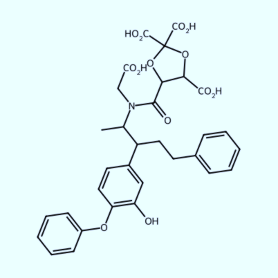 CC(C(CCc1ccccc1)c1ccc(Oc2ccccc2)c(O)c1)N(CC(=O)O)C(=O)C1OC(C(=O)O)(C(=O)O)OC1C(=O)O